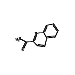 NC(=S)c1ccc2ccccc2n1